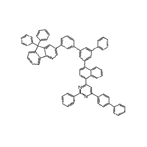 c1ccc(-c2ccc(-c3cc(-c4ccc(-c5cc(-c6ccccc6)cc(-c6cccc(-c7ccc8c(c7)C(c7ccccc7)(c7ccccc7)c7ccccc7-8)c6)c5)c5ccccc45)nc(-c4ccccc4)n3)cc2)cc1